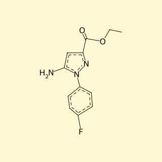 CCOC(=O)c1cc(N)n(-c2ccc(F)cc2)n1